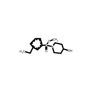 CCc1cccc(P(=O)(OC)N2CCC(O)CC2)c1